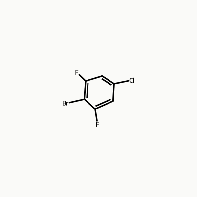 Fc1cc(Cl)cc(F)c1Br